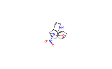 O=C1CC=C2N([N+](=O)[O-])C3C=CCC=C3C23C=CC=CNC13